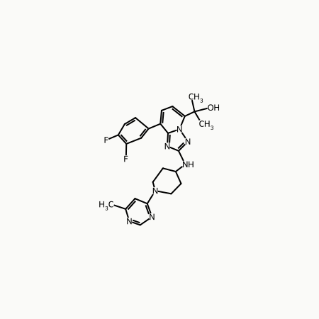 Cc1cc(N2CCC(Nc3nc4c(-c5ccc(F)c(F)c5)ccc(C(C)(C)O)n4n3)CC2)ncn1